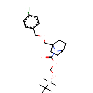 CC(C)(C)[Si](C)(C)OCOC(=O)N1C2CCC1(COCc1ccc(Cl)cc1)CC2